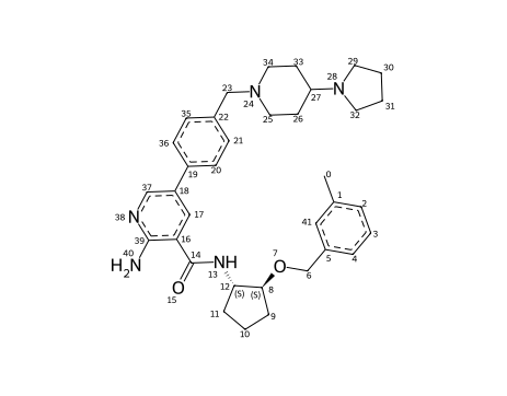 Cc1cccc(CO[C@H]2CCC[C@@H]2NC(=O)c2cc(-c3ccc(CN4CCC(N5CCCC5)CC4)cc3)cnc2N)c1